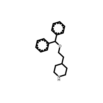 c1ccc(C(OCCC2CCNCC2)c2ccccc2)cc1